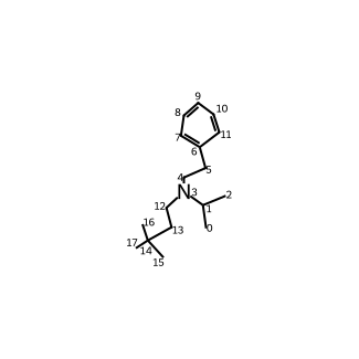 CC(C)N(CCc1ccccc1)CCC(C)(C)C